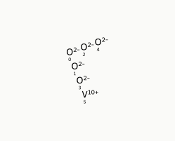 [O-2].[O-2].[O-2].[O-2].[O-2].[V+10]